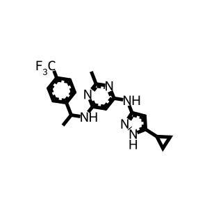 Cc1nc(Nc2cc(C3CC3)[nH]n2)cc(NC(C)c2ccc(C(F)(F)F)cc2)n1